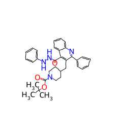 CC(C)(C)OC(=O)N1CCC(Cc2c(-c3ccccc3)nc3ccccc3c2C(=O)NNc2ccccc2)CC1